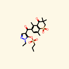 CCCS(=O)(=O)Oc1c(C(=O)c2cc(C)c3c(c2C)C(=O)C(C)(C)CS3(=O)=O)cnn1CC